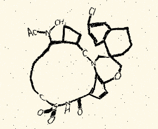 CC(=O)N(C)C1CCCCCS(=O)(=O)NC(=O)c2ccc3c(c2)N(CC2CCC21)C[C@@]1(CCCc2cc(Cl)ccc21)CO3